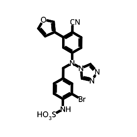 N#Cc1ccc(N(Cc2ccc(NS(=O)(=O)O)c(Br)c2)n2cnnc2)cc1-c1ccoc1